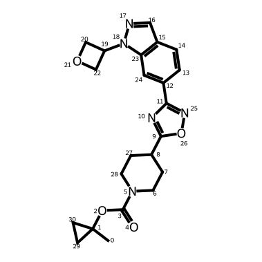 CC1(OC(=O)N2CCC(c3nc(-c4ccc5cnn(C6COC6)c5c4)no3)CC2)CC1